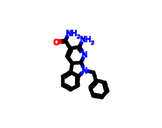 NC(=O)C1=CC2c3ccccc3N(Cc3ccccc3)C2N=C1N